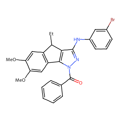 CCC1c2cc(OC)c(OC)cc2-c2c1c(Nc1cccc(Br)c1)nn2C(=O)c1ccccc1